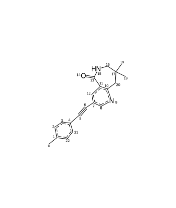 Cc1ccc(C#Cc2cnc3c(c2)C(=O)NCC(C)(C)C3)cc1